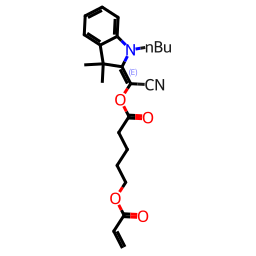 C=CC(=O)OCCCCC(=O)O/C(C#N)=C1/N(CCCC)c2ccccc2C1(C)C